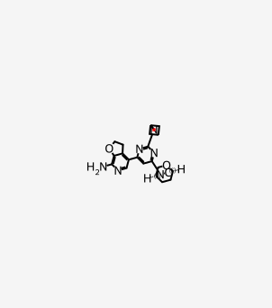 Nc1ncc(-c2cc(N3C[C@@H]4CC[C@H]3CO4)nc(N3CC4CC3C4)n2)c2c1OCC2